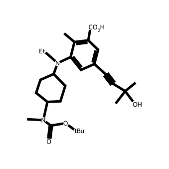 CCN(c1cc(C#CC(C)(C)O)cc(C(=O)O)c1C)C1CCC(N(C)C(=O)OC(C)(C)C)CC1